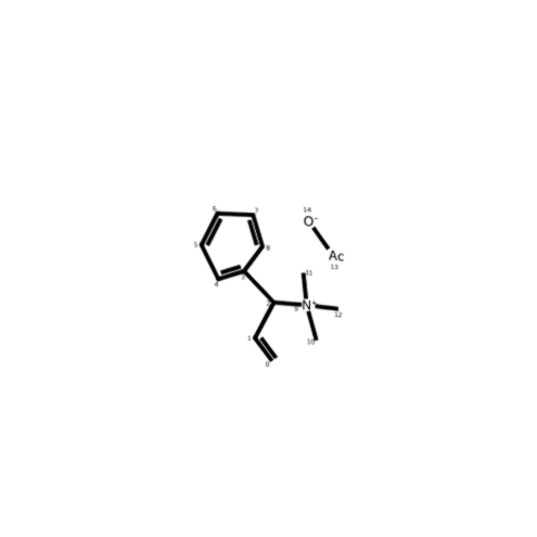 C=CC(c1ccccc1)[N+](C)(C)C.CC(=O)[O-]